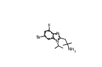 CC(C)n1c(CC(C)(C)N)nc2c(F)cc(Br)cc21